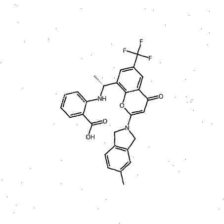 Cc1ccc2c(c1)CN(c1cc(=O)c3cc(C(F)(F)F)cc([C@@H](C)Nc4ccccc4C(=O)O)c3o1)C2